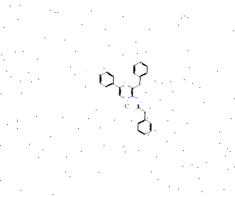 Oc1ccc(C2=CN3COC(Cc4ccccc4)=NC3=C(Cc3ccccc3)N2)cc1